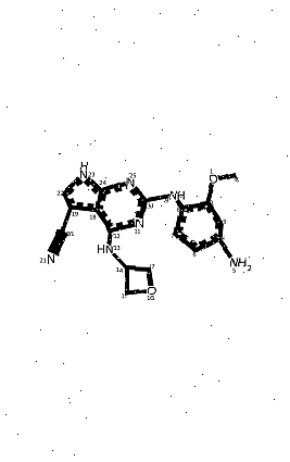 COc1cc(N)ccc1Nc1nc(NC2COC2)c2c(C#N)c[nH]c2n1